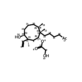 C=C[C@]1(C)C[C@@H](OC(=O)CO)[C@@](C)(CCCCC(C)=O)[C@H](C)CCC[C@@H]1O